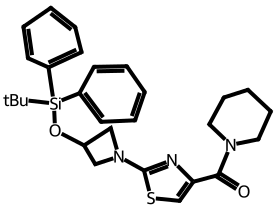 CC(C)(C)[Si](OC1CN(c2nc(C(=O)N3CCCCC3)cs2)C1)(c1ccccc1)c1ccccc1